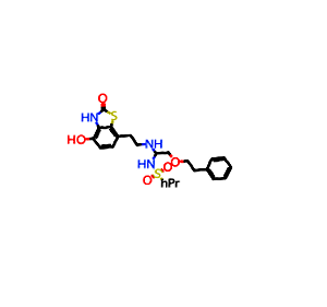 CCCS(=O)(=O)NC(COCCc1ccccc1)NCCc1ccc(O)c2[nH]c(=O)sc12